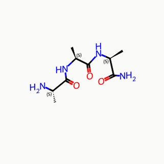 C[C@H](N)C(=O)N[C@@H](C)C(=O)N[C@@H](C)C(N)=O